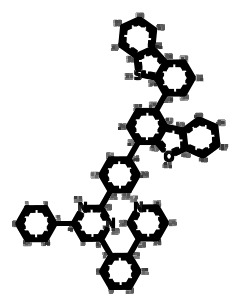 c1ccc(-c2cc(-c3ccccc3-c3cccnc3)nc(-c3ccc(-c4ccc(-c5cccc6c5sc5ccccc56)c5c4oc4ccccc45)cc3)n2)cc1